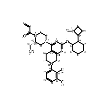 C=CC(=O)N1CCN(c2nc(OC3CCCCC3C3CCN3C)nc3c2CCN(c2cccc(Cl)c2Cl)C3)C[C@@H]1CC#N